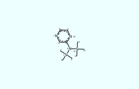 C[Si](C)(C)N(c1cnccn1)[Si](C)(C)C